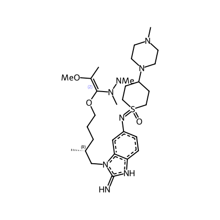 CNN(C)/C(OCCC[C@@H](C)Cn1c(=N)[nH]c2ccc(N=S3(=O)CCC(N4CCN(C)CC4)CC3)cc21)=C(\C)OC